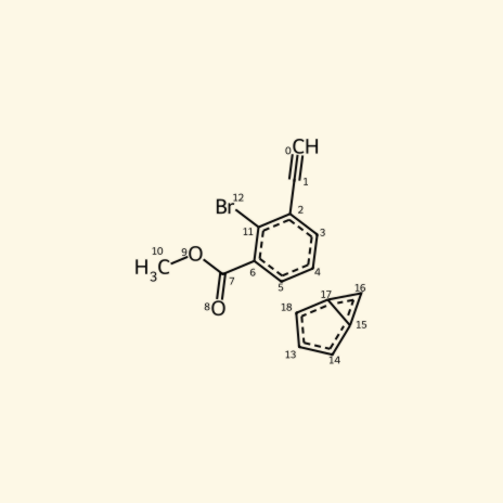 C#Cc1cccc(C(=O)OC)c1Br.c1cc2cc-2c1